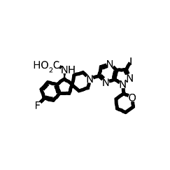 O=C(O)N[C@@H]1c2ccc(F)cc2CC12CCN(c1cnc3c(I)nn(C4CCCCO4)c3n1)CC2